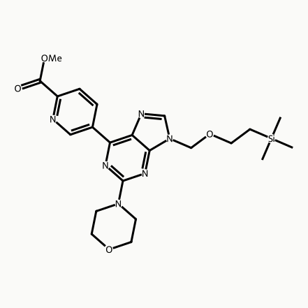 COC(=O)c1ccc(-c2nc(N3CCOCC3)nc3c2ncn3COCC[Si](C)(C)C)cn1